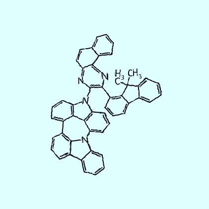 CC1(C)c2ccccc2-c2cccc(-c3nc4c(ccc5ccccc54)nc3-n3c4cccc5c6cccc7c8ccccc8n(c8cccc3c8c54)c67)c21